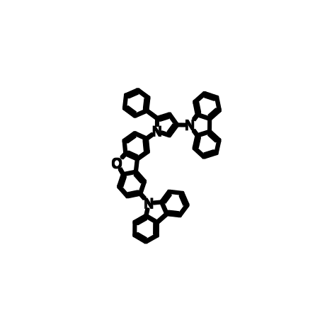 c1ccc(-c2cc(-n3c4ccccc4c4ccccc43)cn2-c2ccc3oc4ccc(-n5c6ccccc6c6ccccc65)cc4c3c2)cc1